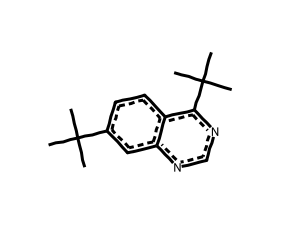 CC(C)(C)c1ccc2c(C(C)(C)C)ncnc2c1